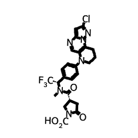 CN(C(=O)[C@@H]1CC(=O)N(C(=O)O)C1)[C@@H](c1ccc(N2CCCc3c2cnc2cc(Cl)nn32)cc1)C(F)(F)F